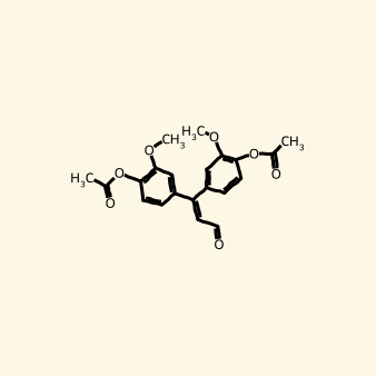 COc1cc(C(=CC=O)c2ccc(OC(C)=O)c(OC)c2)ccc1OC(C)=O